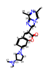 Cc1cn2cc(-c3cc4ccc(N5CC[C@@H](N(C)C)C5)cc4oc3=O)nc2c(C)n1